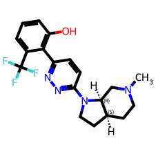 CN1CC[C@H]2CCN(c3ccc(-c4c(O)cccc4C(F)(F)F)nn3)[C@H]2C1